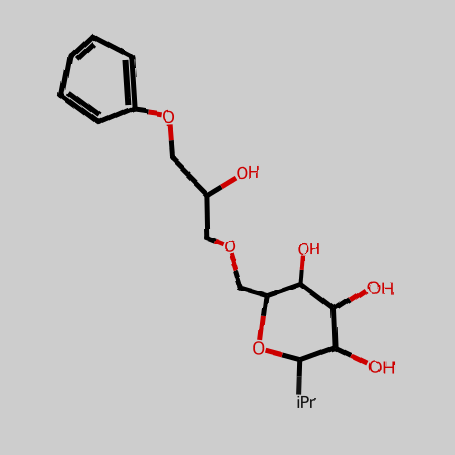 CC(C)C1OC(COCC(O)COc2ccccc2)C(O)C(O)C1O